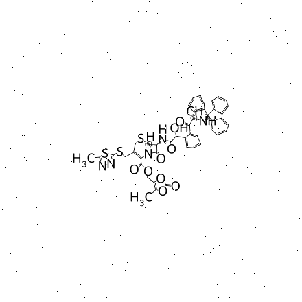 Cc1nnc(SCC2=C(C(=O)OCc3oc(=O)oc3C)N3C(=O)C(NC(=O)C(O)c4ccccc4C(=O)[C@H](C)NC(c4ccccc4)(c4ccccc4)c4ccccc4)[C@@H]3SC2)s1